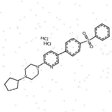 Cl.Cl.O=S(=O)(c1ccccc1)c1ccc(-c2ccc(N3CCN(C4CCCC4)CC3)nc2)cc1